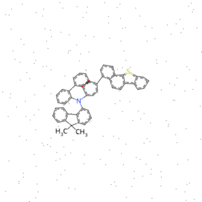 CC1(C)c2ccccc2-c2c(N(c3ccc(-c4cccc5c4ccc4c6ccccc6sc54)cc3)c3ccccc3-c3ccccc3)cccc21